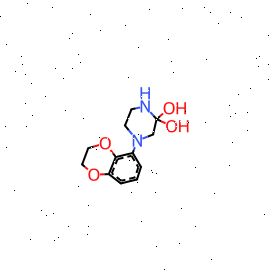 OC1(O)CN(c2cccc3c2OCCO3)CCN1